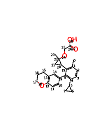 Cc1ccc(C2CC2)c(-c2ccc3c(c2)CCCO3)c1C1CC1(C)OCC(=O)O